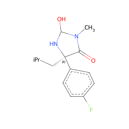 CC(C)C[C@]1(c2ccc(F)cc2)NC(O)N(C)C1=O